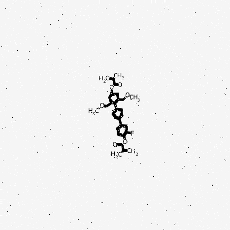 C=C(C)C(=O)Oc1cc(COC)c(-c2ccc(-c3ccc(OC(=O)C(=C)C)c(F)c3)cc2)c(COC)c1